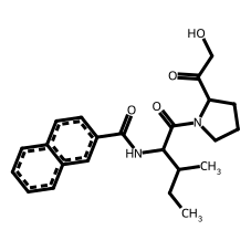 CCC(C)C(NC(=O)c1ccc2ccccc2c1)C(=O)N1CCCC1C(=O)CO